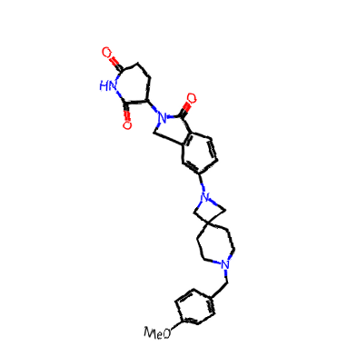 COc1ccc(CN2CCC3(CC2)CN(c2ccc4c(c2)CN(C2CCC(=O)NC2=O)C4=O)C3)cc1